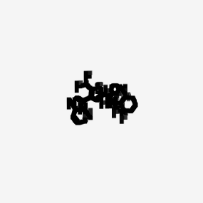 N[C@@H]1CCCC(F)(F)[C@@H]1NC(=O)c1cc(-c2cnc3cccnn23)c(C(F)F)s1